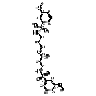 COc1cccc(S(=O)(=O)NCCCOC(=O)CCNS(=O)(=O)c2cccc(OC)c2)c1